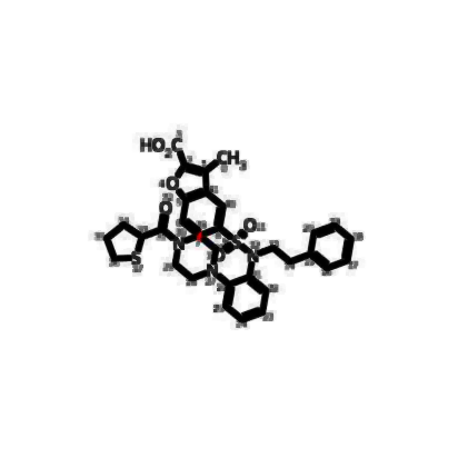 Cc1c(C(=O)O)oc2ccc(S(=O)(=O)N(CCc3ccccc3)c3ccccc3N3CCN(C(=O)C4CCCS4)CC3)cc12